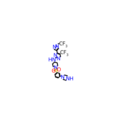 O=S(=O)(c1cccc(N2CCNCC2)c1)N1CCC(Nc2ncc(C(F)(F)F)c(-c3cnn(CC(F)(F)F)c3)n2)CC1